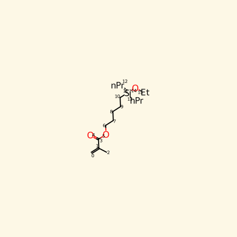 C=C(C)C(=O)OCCCCC[Si](CCC)(CCC)OCC